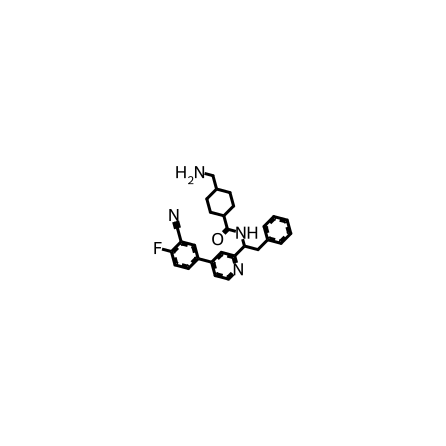 N#Cc1cc(-c2ccnc(C(Cc3ccccc3)NC(=O)C3CCC(CN)CC3)c2)ccc1F